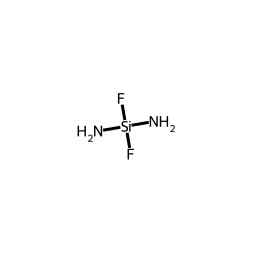 N[Si](N)(F)F